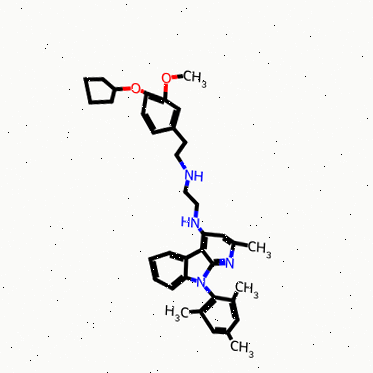 COc1cc(CCNCCNc2cc(C)nc3c2c2ccccc2n3-c2c(C)cc(C)cc2C)ccc1OC1CCCC1